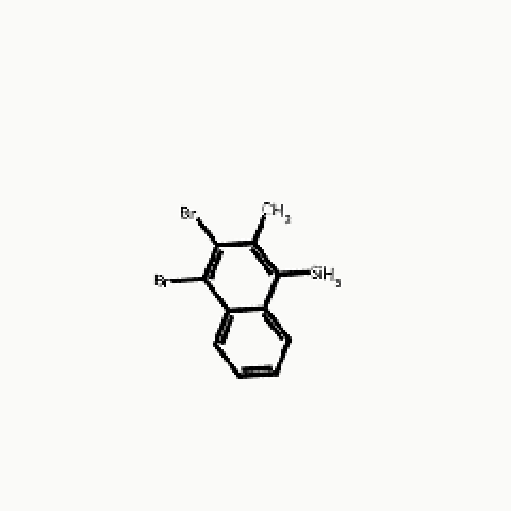 Cc1c(Br)c(Br)c2ccccc2c1[SiH3]